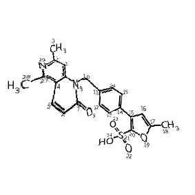 Cc1cc2c(ccc(=O)n2Cc2ccc(-c3cc(C)oc3S(=O)(=O)O)cc2)c(C)n1